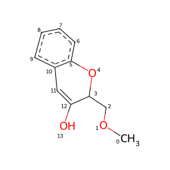 COCC1Oc2ccccc2C=C1O